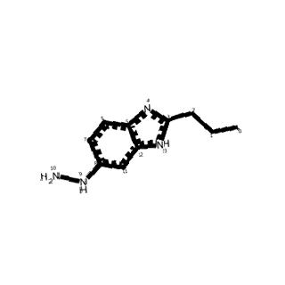 CCCc1nc2ccc(NN)cc2[nH]1